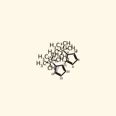 [CH3][Sc]([CH3])([CH3])([CH3])([CH3])[CH]1C=CC=C1.[CH3][Sc]([CH3])([CH3])([CH3])([CH3])[CH]1C=CC=C1